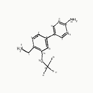 NCc1ccc(-c2cnc(N)nc2)cc1OC(F)(F)F